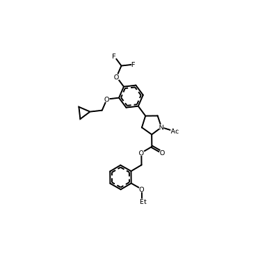 CCOc1ccccc1COC(=O)C1CC(c2ccc(OC(F)F)c(OCC3CC3)c2)CN1C(C)=O